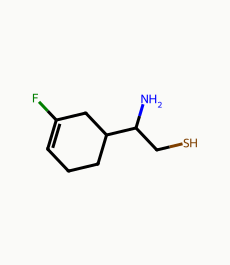 NC(CS)C1CCC=C(F)C1